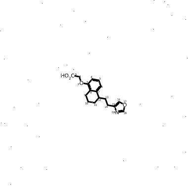 O=C(O)COc1cccc2c1CCCC2CCc1cocn1